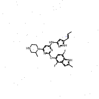 C/C=C/c1cc(Nc2cc(N3CCNCC3C)nc(Oc3cc(F)c4[nH]c(C)cc4c3F)n2)n[nH]1